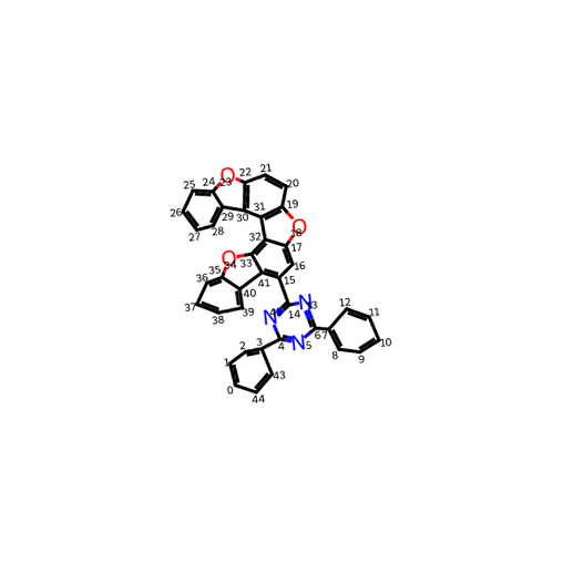 c1ccc(-c2nc(-c3ccccc3)nc(-c3cc4oc5ccc6oc7ccccc7c6c5c4c4oc5ccccc5c34)n2)cc1